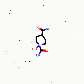 NC(=O)C1CC[N+](O)(C(N)=O)CC1